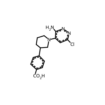 Nc1nnc(Cl)cc1N1CCCC(c2ccc(C(=O)O)cc2)C1